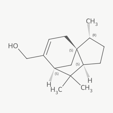 C[C@@H]1CC[C@H]2C(C)(C)[C@@H]3C[C@]12CC=C3CO